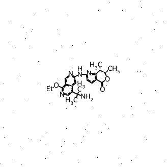 CCOc1ncc(C(C)(C)N)c2cc(Nc3ccc4c(n3)[C@H](C)[C@@H](C)OC4=O)ncc12